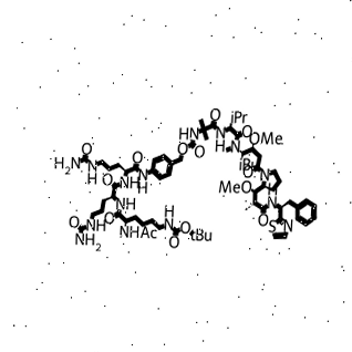 CC[C@H](C)[C@@H]([C@@H](CC(=O)N1CCC[C@H]1[C@H](OC)[C@@H](C)C(=O)N[C@@H](Cc1ccccc1)c1nccs1)OC)N(C)C(=O)[C@@H](NC(=O)C(C)(C)NC(=O)OCc1ccc(NC(=O)[C@H](CCCNC(N)=O)NC(=O)[C@H](CCCNC(N)=O)NC(=O)[C@H](CCCCNC(=O)OC(C)(C)C)NC(C)=O)cc1)C(C)C